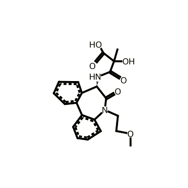 COCCN1C(=O)[C@@H](NC(=O)C(C)(O)C(=O)O)c2ccccc2-c2ccccc21